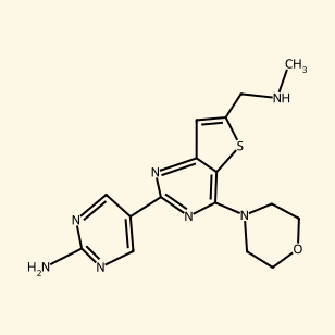 CNCc1cc2nc(-c3cnc(N)nc3)nc(N3CCOCC3)c2s1